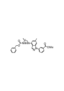 COC(=O)c1cccc(-n2ncc3c(NC[C@H](C)NC(=O)OCc4ccccc4)cc(C)cc32)c1